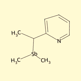 C[CH](c1ccccn1)[Sb]([CH3])[CH3]